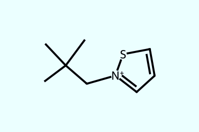 CC(C)(C)C[n+]1cccs1